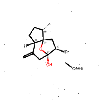 C=C1C[C@]2(O)O[C@@]3(C[C@H]2C(C)C)[C@@H](C)CC[C@@H]13.COC